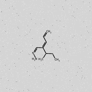 C=C/C=C(\C=N/N)C(C)CC